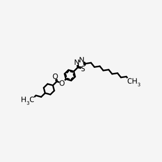 CCCCCCCCCCc1nnc(-c2ccc(OC(=O)C3CCC(CCC)CC3)cc2)s1